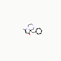 CC1=CC(=O)C2(Cc3ccccc3)CNCCN12